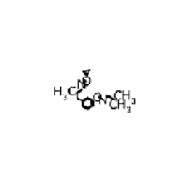 CC(C)/C=N/Oc1cccc(CC(C)/C=N/OC2CC2)c1